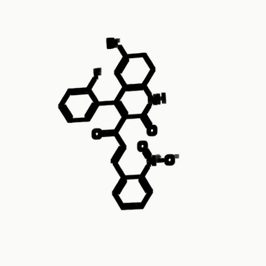 O=C(C=Cc1ccccc1[N+](=O)[O-])c1c(-c2ccccc2F)c2c([nH]c1=O)CCC(Br)=C2